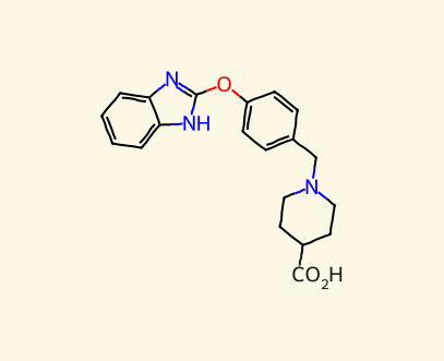 O=C(O)C1CCN(Cc2ccc(Oc3nc4ccccc4[nH]3)cc2)CC1